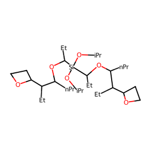 CCCC(OC(CC)[Si](OC(C)C)(OC(C)C)C(CC)OC(CCC)C(CC)C1CCO1)C(CC)C1CCO1